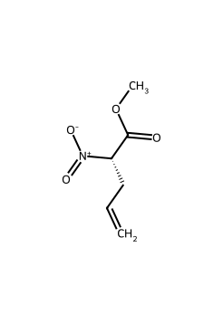 C=CC[C@@H](C(=O)OC)[N+](=O)[O-]